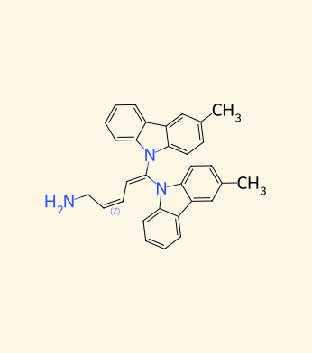 Cc1ccc2c(c1)c1ccccc1n2C(=C/C=C\CN)n1c2ccccc2c2cc(C)ccc21